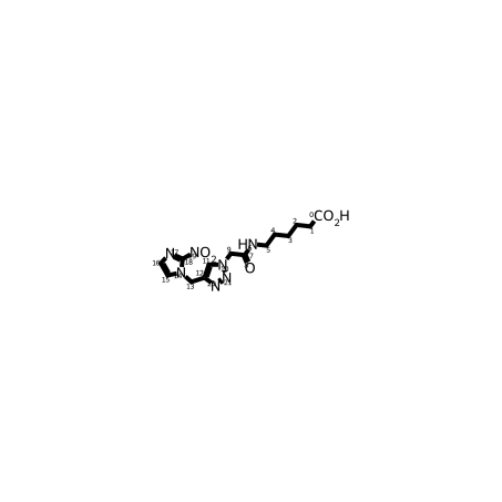 O=C(O)CCCCCNC(=O)Cn1cc(Cn2ccnc2[N+](=O)[O-])nn1